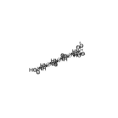 COC(=O)CC(NCCNCCNCC(=O)NCCNC(=O)CNCCNCCNCC(=O)O)C(=O)O